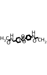 C=CC(=O)Nc1ccc(S(=O)(=O)N2CCC(CNC(C)=O)CC2)cc1